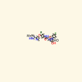 CN/C=C(\C=N)c1cc(Oc2ccc(NC(=O)/C(C)=C/N(CCO)C(=O)N(C=O)c3ccc(F)cc3)cc2F)ccn1